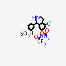 NC(=O)C(F)(F)F.O=S(=O)(O)c1cccc(C2CNCCc3c2cc2c(c3Cl)OCO2)c1